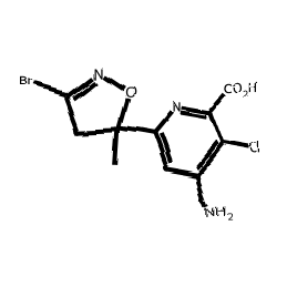 CC1(c2cc(N)c(Cl)c(C(=O)O)n2)CC(Br)=NO1